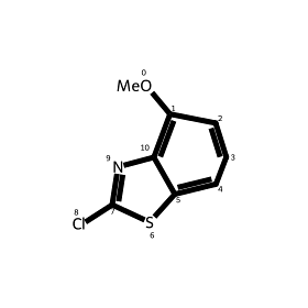 COc1cccc2sc(Cl)nc12